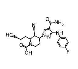 C#CCCC1C(C#N)C(n2cc(C(N)=O)c(Nc3ccc(F)cc3)n2)CCN1C(=O)O